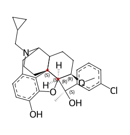 CO[C@]12CCC3(C[C@@H]1[C@](C)(O)c1cccc(Cl)c1)C1Cc4ccc(O)c5c4[C@@]3(CCN1CC1CC1)[C@@H]2O5